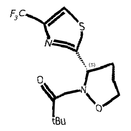 CC(C)(C)C(=O)N1OCC[C@H]1c1nc(C(F)(F)F)cs1